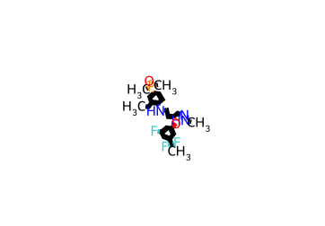 CCc1cc(P(C)(C)=O)ccc1NC/C=C(\C=N/NC)Oc1cc(F)cc(C(C)(F)F)c1